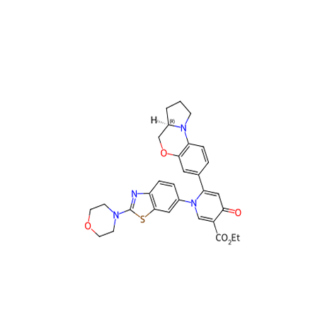 CCOC(=O)c1cn(-c2ccc3nc(N4CCOCC4)sc3c2)c(-c2ccc3c(c2)OC[C@H]2CCCN32)cc1=O